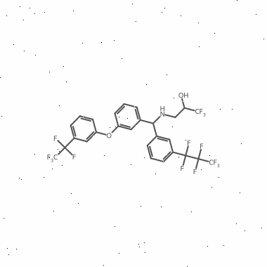 OC(CNC(c1cccc(Oc2cccc(C(F)(F)C(F)(F)F)c2)c1)c1cccc(C(F)(F)C(F)(F)C(F)(F)F)c1)C(F)(F)F